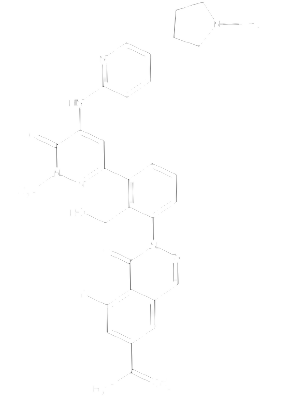 C=C(C)c1cc(F)c2c(=O)n(-c3cccc(-c4cc(Nc5ccc([C@@H]6CCN(C)C6)cn5)c(=O)n(C)n4)c3CO)ncc2c1